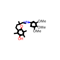 COc1cc(NCCC2(C)CCc3c(C)c(O)c(C)c(C)c3O2)cc(OC)c1OC